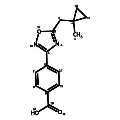 CC1(Cc2nc(-c3ccc(C(=O)O)cc3)no2)CC1